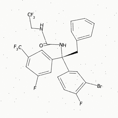 O=C(NCC(F)(F)F)N[C@@](Cc1ccccc1)(c1cc(F)cc(C(F)(F)F)c1)c1ccc(F)c(Br)c1